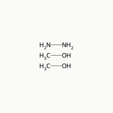 CO.CO.NN